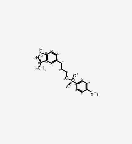 Cc1ccc(S(=O)(=O)OCCCc2ccc3[nH]nc(C)c3c2)cc1